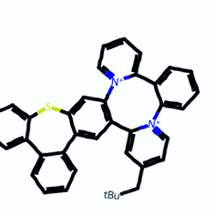 CC(C)(C)Cc1cc[n+]2c3ccccc3c3cccc[n+]3c3cc4sc5ccccc5c5ccccc5c4cc3c2c1